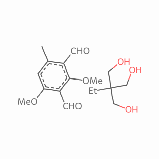 CCC(CO)(CO)CO.COc1cc(C)c(C=O)c(OC)c1C=O